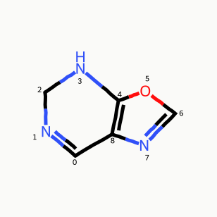 C1=NCNc2ocnc21